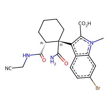 Cn1c(C(=O)O)c([C@]2(C(N)=O)CCCC[C@H]2C(=O)NCC#N)c2ccc(Br)cc21